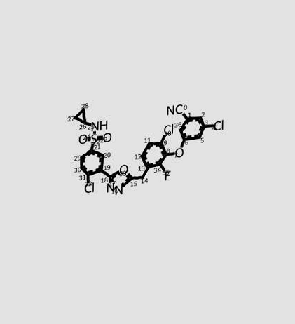 N#Cc1cc(Cl)cc(Oc2c(Cl)ccc(Cc3nnc(-c4cc(S(=O)(=O)NC5CC5)ccc4Cl)o3)c2F)c1